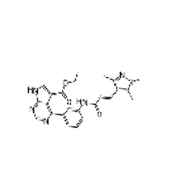 CCOC(=O)c1c[nH]c2ncnc(-c3cccc(NC(=O)C=Cc4c(C)nn(C)c4C)c3)c12